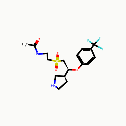 CC(=O)NCCS(=O)(=O)C[C@@H](Oc1ccc(C(F)(F)F)cc1)[C@H]1CCNC1